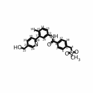 CS(=O)(=O)Cc1ccc(C(=O)Nc2ccc(I)c(-c3ccc(CO)cn3)c2)cc1